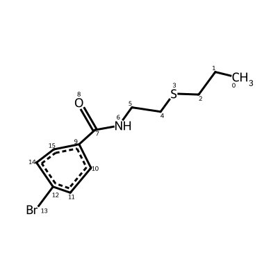 CCCSCCNC(=O)c1ccc(Br)cc1